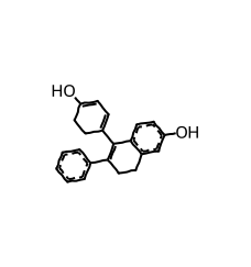 OC1=CC=C(C2=C(c3ccccc3)CCc3cc(O)ccc32)CC1